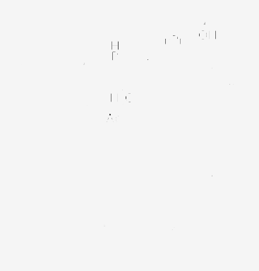 CCCC(C)(Pc1ccccc1C(C)=O)c1cc(Cc2ccccc2)ccc1O